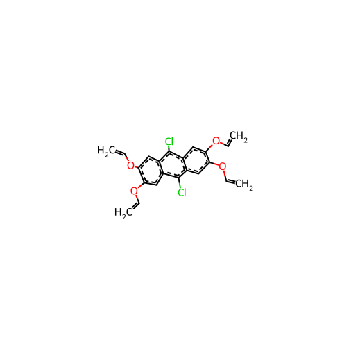 C=COc1cc2c(Cl)c3cc(OC=C)c(OC=C)cc3c(Cl)c2cc1OC=C